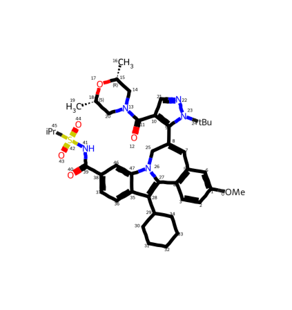 COc1ccc2c(c1)C=C(c1c(C(=O)N3C[C@@H](C)O[C@@H](C)C3)cnn1C(C)(C)C)Cn1c-2c(C2CCCCC2)c2ccc(C(=O)NS(=O)(=O)C(C)C)cc21